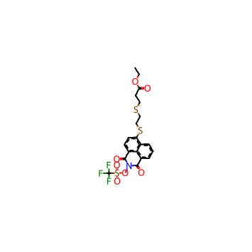 CCOC(=O)CCSCCSc1ccc2c3c(cccc13)C(=O)N(OS(=O)(=O)C(F)(F)F)C2=O